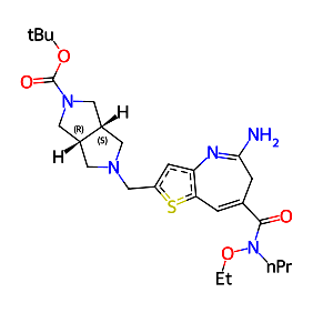 CCCN(OCC)C(=O)C1=Cc2sc(CN3C[C@@H]4CN(C(=O)OC(C)(C)C)C[C@@H]4C3)cc2N=C(N)C1